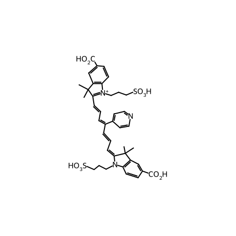 CC1(C)C(=CC=CC(=CC=CC2=[N+](CCCS(=O)(=O)O)c3ccc(C(=O)O)cc3C2(C)C)c2ccncc2)N(CCCS(=O)(=O)O)c2ccc(C(=O)O)cc21